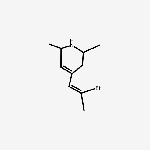 CC/C(C)=C\C1=CC(C)NC(C)C1